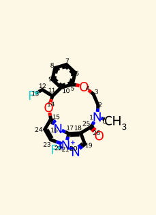 CN1CCOc2ccccc2C(CF)OC2=NC3=C(C=N[N+]3(F)C=C2)C1=O